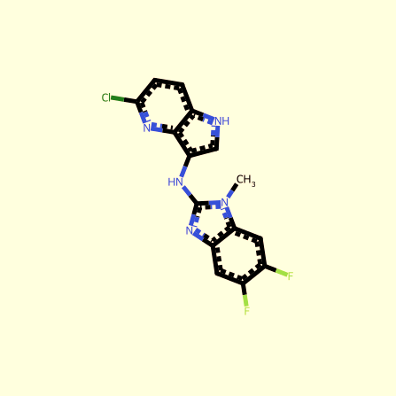 Cn1c(Nc2c[nH]c3ccc(Cl)nc23)nc2cc(F)c(F)cc21